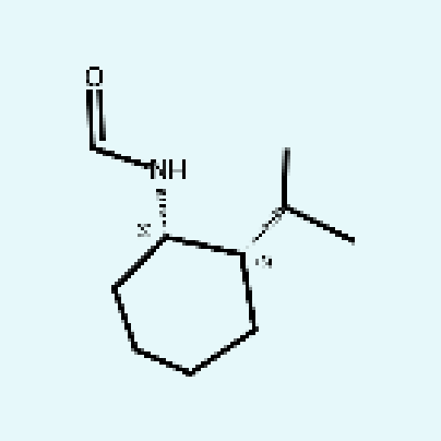 CC(C)[C@@H]1CCCC[C@@H]1NC=O